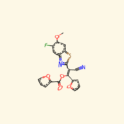 COc1cc2sc(/C(C#N)=C(\OC(=O)c3ccco3)c3ccco3)nc2cc1F